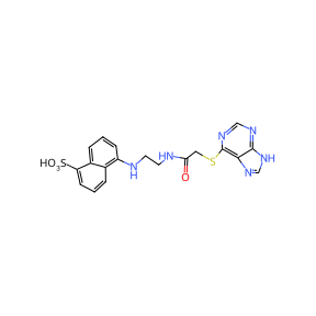 O=C(CSc1ncnc2[nH]cnc12)NCCNc1cccc2c(S(=O)(=O)O)cccc12